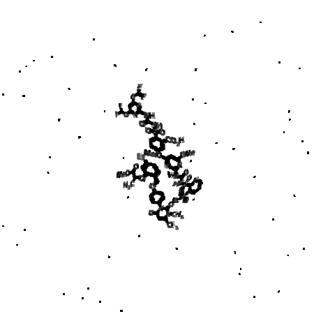 CCS(=O)(=O)c1cccnc1S(=O)(=O)NC(=O)Nc1nc(OC)cc(OC)n1.CCc1ccc(COc2ccc(-n3c(=O)cc(C(F)(F)F)n(C)c3=O)cc2)c(OC(C)C(=O)OC)c1.O=C(Nc1nc(OC(F)F)cc(OC(F)F)n1)NS(=O)(=O)c1ccccc1C(=O)O